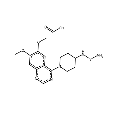 COc1cc2ncnc(N3CCC(NSN)CC3)c2cc1OC.O=CO